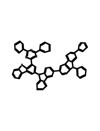 c1ccc(-c2ccc3c4cc(-c5ccc6c(c5)c5ccccc5n6-c5cc(-c6nc(-c7ccccc7)nc(-c7ccccc7)n6)c6sc7ccccc7c6c5)ccc4n(-c4ccccc4)c3c2)cc1